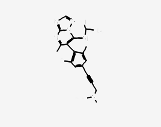 CC(Nc1c(-c2c(F)cc(C#CCN(C)C)cc2F)c(Cl)nc2ncnn12)C(C)(C)C